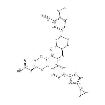 COc1ccc([C@H]2CC[C@H](CN(c3cccc(-c4cnc(C5CC5)s4)c3)C(=O)[C@H]3CC[C@H](CC(=O)O)CC3)CC2)nc1C#N